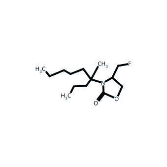 CCCCCC(C)(CCC)N1C(=O)OCC1CF